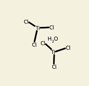 O.[Cl][Ti]([Cl])[Cl].[Cl][Ti]([Cl])[Cl]